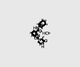 C[C@H]1C(=O)NCCN1c1nc2c(C(=O)NC3CC4CCCC(C3)N4C)cccc2o1.Cl